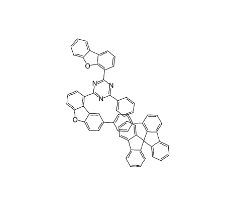 c1ccc(-c2nc(-c3cccc4c3oc3ccccc34)nc(-c3cccc4oc5ccc(-c6ccc(-c7cccc8c7C7(c9ccccc9-c9ccccc97)c7ccccc7-8)cc6)cc5c34)n2)cc1